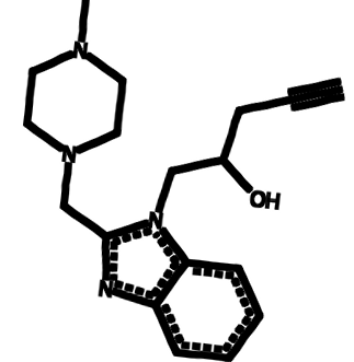 C#CCC(O)Cn1c(CN2CCN(C)CC2)nc2ccccc21